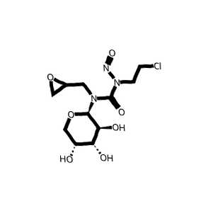 O=NN(CCCl)C(=O)N(CC1CO1)[C@@H]1OC[C@@H](O)[C@@H](O)[C@@H]1O